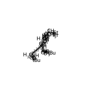 CC[C@H](CC[C@@H](C)[C@H]1CC[C@H]2[C@@H]3CC=C4C[C@@H](OC(=O)N(CCCCCCCC(C)NC(=O)OC(C)(C)C)CCC(C)NC(=O)OC(C)(C)C)CC[C@]4(C)[C@H]3CC[C@]12C)C(C)C